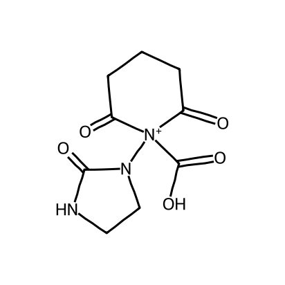 O=C1NCCN1[N+]1(C(=O)O)C(=O)CCCC1=O